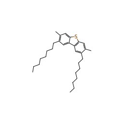 CCCCCCCCc1cc2c(cc1C)sc1cc(C)c(CCCCCCCC)cc12